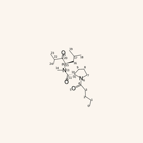 CCCCC(=O)N1CCC[C@H]1C(=O)N(C)[C@H](CC(C)C)C(=O)C(C)C